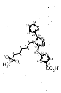 CS(=O)(=O)CCCCCn1c(Sc2ncc(C(=O)O)s2)nnc1-c1cccs1